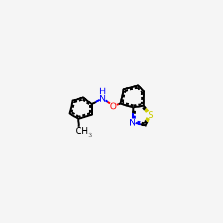 Cc1cccc(NOc2cccc3scnc23)c1